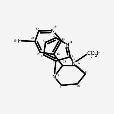 O=C(O)N1c2ncccc2N2CCC1CC2c1cncc(F)c1